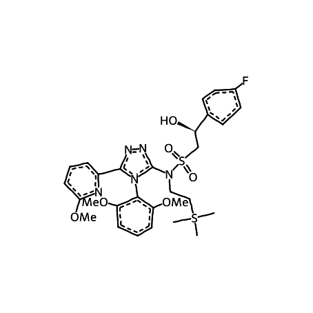 COc1cccc(-c2nnc(N(CCS(C)(C)C)S(=O)(=O)C[C@@H](O)c3ccc(F)cc3)n2-c2c(OC)cccc2OC)n1